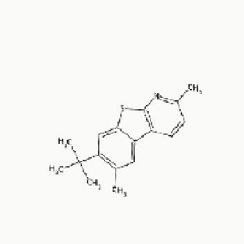 Cc1ccc2c(n1)sc1cc(C(C)(C)C)c(C)cc12